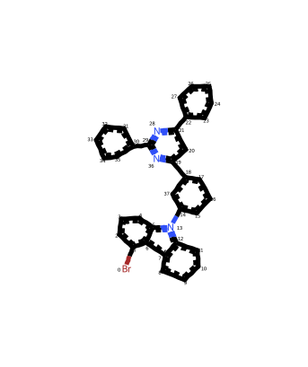 Brc1cccc2c1c1ccccc1n2-c1cccc(-c2cc(-c3ccccc3)nc(-c3ccccc3)n2)c1